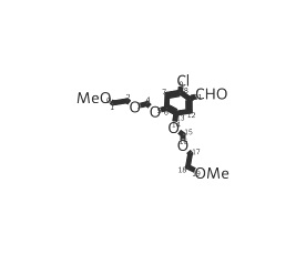 COCCOCOc1cc(Cl)c(C=O)cc1OCOCCOC